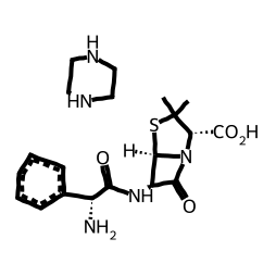 C1CNCCN1.CC1(C)S[C@@H]2[C@H](NC(=O)[C@H](N)c3ccccc3)C(=O)N2[C@H]1C(=O)O